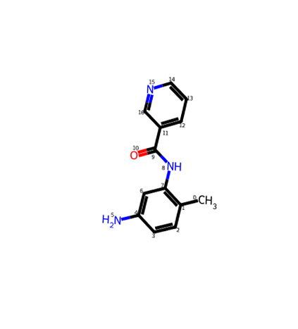 Cc1ccc(N)cc1NC(=O)c1cccnc1